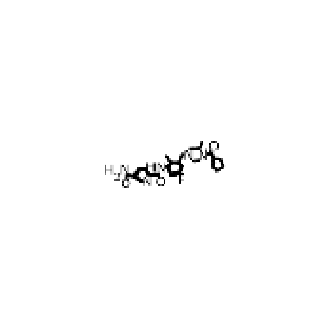 Cc1c(CN2CCN(C(=O)C3CCCC3)C(C)C2)cc(F)cc1NC(=O)c1ccc(C(N)=O)cn1